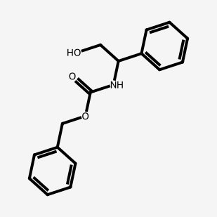 O=C(NC(CO)c1ccccc1)OCc1ccccc1